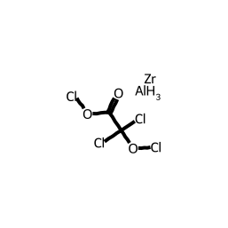 O=C(OCl)C(Cl)(Cl)OCl.[AlH3].[Zr]